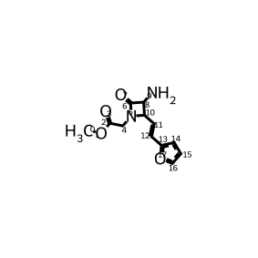 COC(=O)CN1C(=O)C(N)C1C=Cc1ccco1